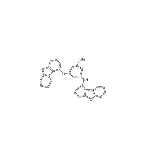 CC(C)(C)c1cc(Nc2cccc3oc4ccccc4c23)cc(Oc2cccc3oc4ccccc4c23)c1